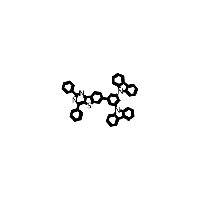 c1ccc(-c2nc(-c3ccccc3)c3sc4cc(-c5cc(-n6c7ccccc7c7ccccc76)cc(-n6c7ccccc7c7ccccc76)c5)ccc4c3n2)cc1